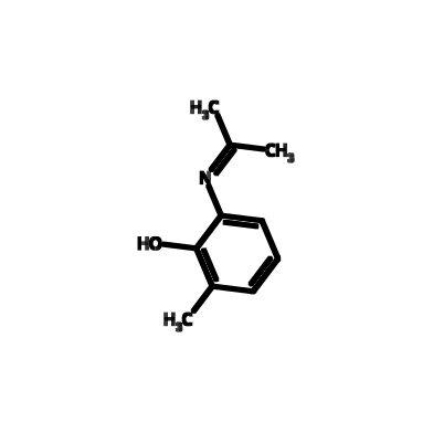 CC(C)=Nc1cccc(C)c1O